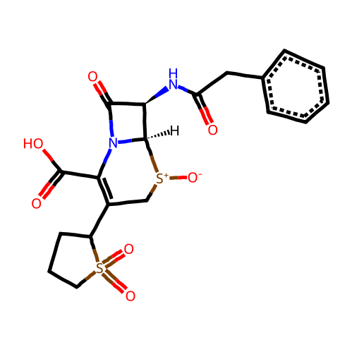 O=C(Cc1ccccc1)N[C@@H]1C(=O)N2C(C(=O)O)=C(C3CCCS3(=O)=O)C[S+]([O-])[C@H]12